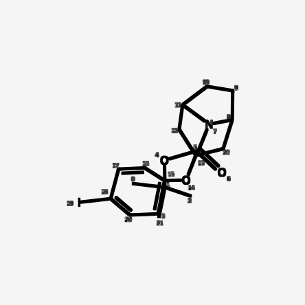 CC(C)(C)OC(=O)N1C2CCC1CC(Oc1ccc(I)cc1)C2